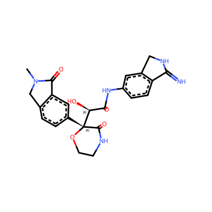 CN1Cc2ccc([C@]3([C@@H](O)C(=O)Nc4ccc5c(c4)CNC5=N)OCCNC3=O)cc2C1=O